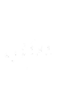 CCC1(NC(=O)N[C@H](C(=O)N2C[C@H]3[C@H](CCC34CC4)[C@H]2C(=O)NC(CC2CC2)C(=O)C(N)=O)C2CCCCC2)CCCCC1